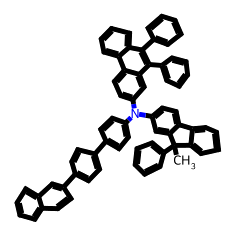 CC1(c2ccccc2)c2ccccc2-c2ccc(N(c3ccc(-c4ccc(-c5ccc6ccccc6c5)cc4)cc3)c3ccc4c(c3)c(-c3ccccc3)c(-c3ccccc3)c3ccccc34)cc21